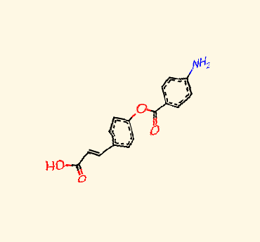 Nc1ccc(C(=O)Oc2ccc(C=CC(=O)O)cc2)cc1